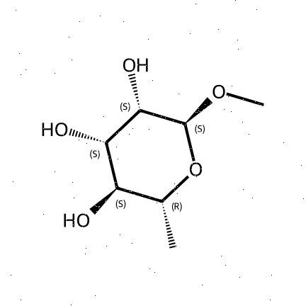 CO[C@H]1O[C@H](C)[C@@H](O)[C@H](O)[C@@H]1O